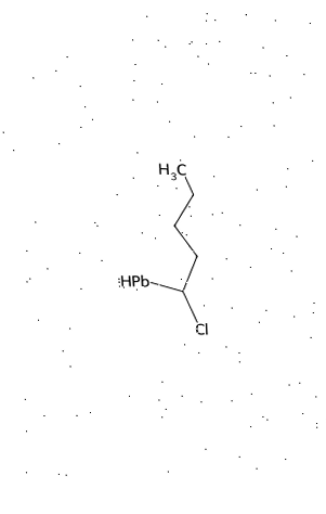 CCCC[CH](Cl)[PbH]